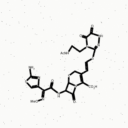 CON=C(C(=O)NC1C(=O)N2C(C(=O)O)=C(C=CSc3n[nH]c(=O)c(=O)n3CCNC(C)=O)CSC12)c1csc(N)n1